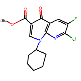 CC(C)(C)OC(=O)c1cn(C2CCCCC2)c2nc(Cl)c(F)cc2c1=O